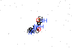 CC[S@@](=N)(=O)c1c(C)cc(Nc2nc(C)c(-c3cccc4c3ncn4C)nc2C(=O)OC)cc1C